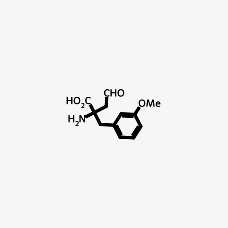 COc1cccc(CC(N)(CC=O)C(=O)O)c1